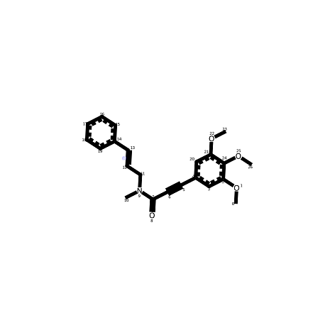 COc1cc(C#CC(=O)N(C)C/C=C/c2ccccc2)cc(OC)c1OC